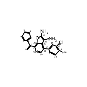 C=C(c1ccccc1)c1ncc(-c2ccc(F)c(Cl)c2)c2c(N)c(N)oc12